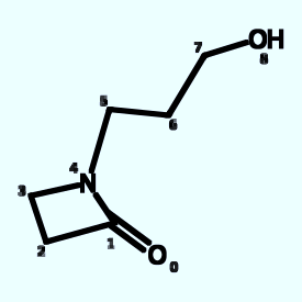 O=C1CCN1CCCO